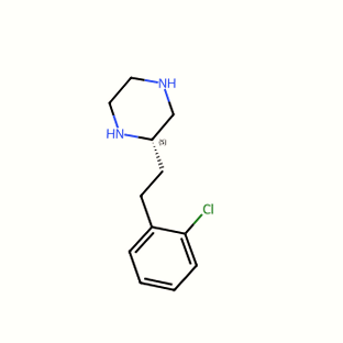 Clc1ccccc1CC[C@H]1CNCCN1